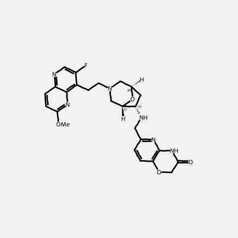 COc1ccc2ncc(F)c(CCN3C[C@H]4C[C@H](NCc5ccc6c(n5)NC(=O)CO6)[C@H](C3)O4)c2n1